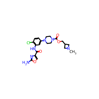 CN1CC(COC(=O)N2CCN(c3ccc(Cl)c(NC(=O)c4coc(N)n4)c3)CC2)C1